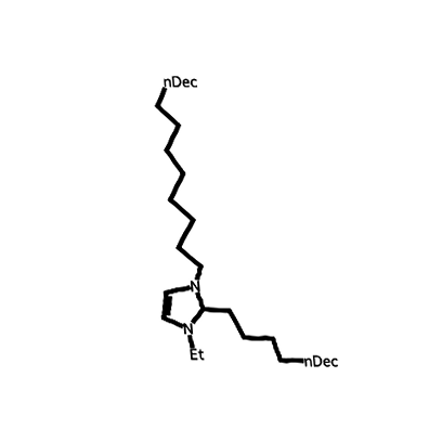 CCCCCCCCCCCCCCCCCCN1C=CN(CC)C1CCCCCCCCCCCCCC